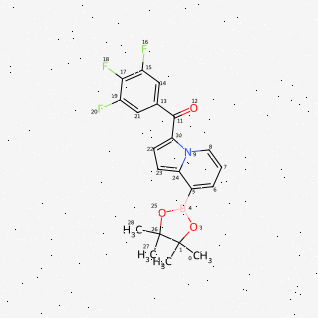 CC1(C)OB(c2cccn3c(C(=O)c4cc(F)c(F)c(F)c4)ccc23)OC1(C)C